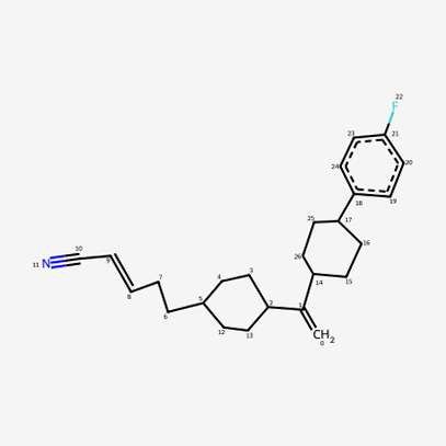 C=C(C1CCC(CCC=CC#N)CC1)C1CCC(c2ccc(F)cc2)CC1